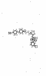 N#Cc1ccc(-c2ccc(OCCCN3CCCC3CNS(=O)(=O)c3cccc(Cl)c3)cc2)cc1